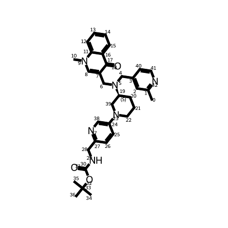 Cc1cc(CN(Cc2cn(C)c3ccccc3c2=O)[C@H]2CCCN(c3ccc(CNC(=O)OC(C)(C)C)nc3)C2)ccn1